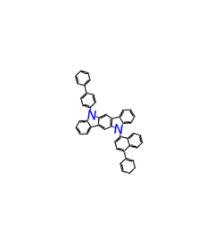 C1=CC(c2ccc(-n3c4ccccc4c4cc5c(cc43)c3ccccc3n5-c3ccc(-c4ccccc4)cc3)c3ccccc23)=CCC1